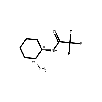 N[C@@H]1CCCC[C@H]1NC(=O)C(F)(F)F